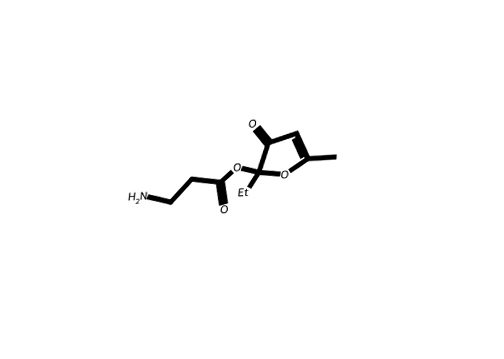 CCC1(OC(=O)CCN)OC(C)=CC1=O